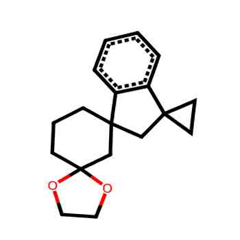 c1ccc2c(c1)C1(CC1)CC21CCCC2(C1)OCCO2